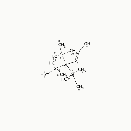 C[Si](C)(C)[Si](C=CO)([Si](C)(C)C)[Si](C)(C)C